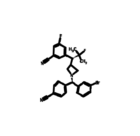 CC(C)(F)[C@@H](c1cc(F)cc(C#N)c1)C1CN([C@@H](c2ccc(C#N)cc2)c2cccc(Br)c2)C1